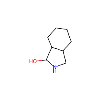 OC1NCC2CCCCC21